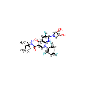 CCC(CC)(CC)NC(=O)c1cn(-c2c(F)cc(F)cc2F)c2nc(N3C[C@@H](O)[C@@H](O)C3)c(F)cc2c1=O